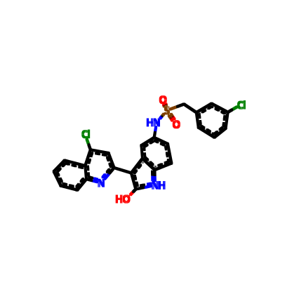 O=S(=O)(Cc1cccc(Cl)c1)Nc1ccc2[nH]c(O)c(-c3cc(Cl)c4ccccc4n3)c2c1